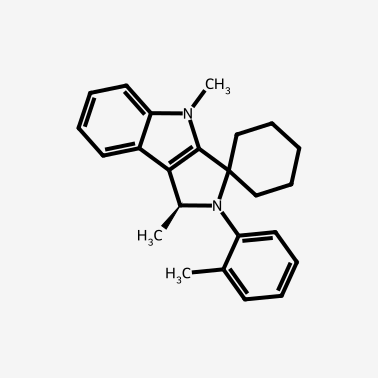 Cc1ccccc1N1[C@@H](C)c2c(n(C)c3ccccc23)C12CCCCC2